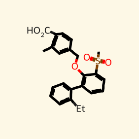 CCc1ccccc1-c1cccc(S(C)(=O)=O)c1OCc1ccc(C(=O)O)c(C)c1